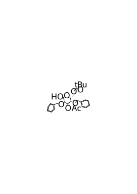 CC(=O)O[C@@H]1[C@@H](OCc2ccccc2)[C@H](O)O[C@H](COC(=O)C(C)(C)C)[C@@H]1OCc1ccccc1